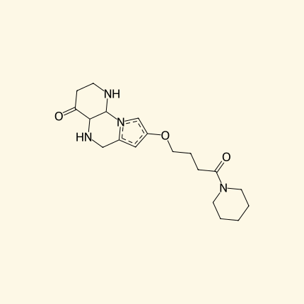 O=C1CCNC2C1NCc1cc(OCCCC(=O)N3CCCCC3)cn12